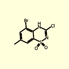 Cc1cc(Br)c2c(c1)S(=O)(=O)N=C(Cl)N2